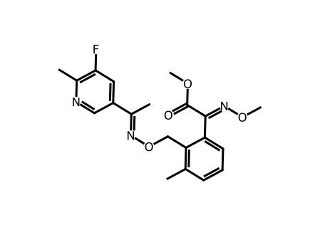 CO/N=C(/C(=O)OC)c1cccc(C)c1CO/N=C(\C)c1cnc(C)c(F)c1